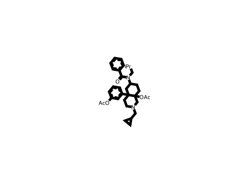 CC(=O)Oc1cccc(C23CCN(CC4CC4)CC2(OC(C)=O)CCC(N(CC(C)C)C(=O)c2ccccc2)C3)c1